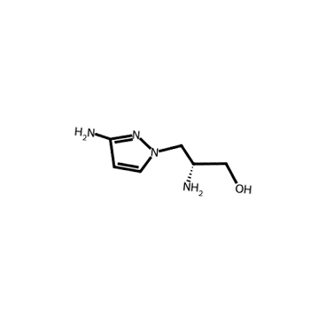 Nc1ccn(C[C@@H](N)CO)n1